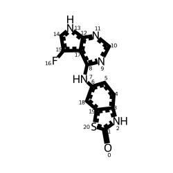 O=c1[nH]c2ccc(Nc3ncnc4[nH]cc(F)c34)cc2s1